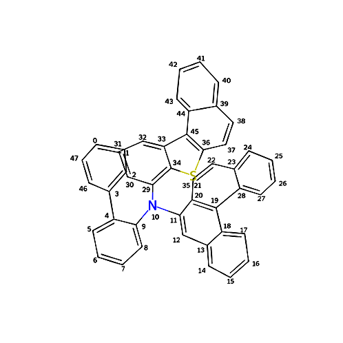 c1ccc(-c2ccccc2N(c2cc3ccccc3c3c2ccc2ccccc23)c2cccc3c2sc2ccc4ccccc4c23)cc1